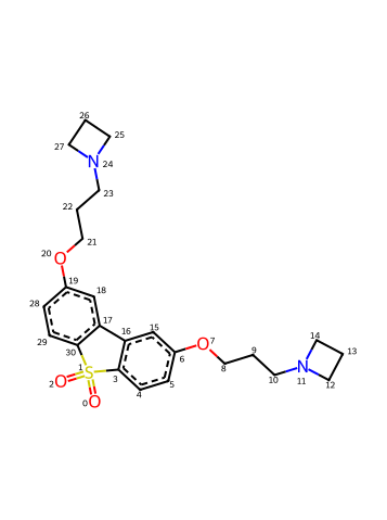 O=S1(=O)c2ccc(OCCCN3CCC3)cc2-c2cc(OCCCN3CCC3)ccc21